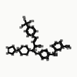 Cc1cc(Nc2ccc(CN(C(=O)/C=C/c3ccc(C(F)(F)F)cc3)C3CCN(C4CCCC4)CC3)cn2)ncn1